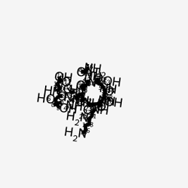 CC(C)(CO)[C@@H](O)C(=O)NCCC(=O)O.NCCC[C@H](N)CC(=O)N[C@H]1CNC(=O)[C@H]([C@H]2C[C@H](O)N=C(N)N2)NC(=O)/C(=C/NC(N)=O)NC(=O)[C@H](CO)NC(=O)[C@H](CO)NC1=O